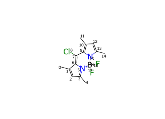 CC1=CC(C)=[N+]2C1=C(Cl)c1c(C)cc(C)n1[B-]2(F)F